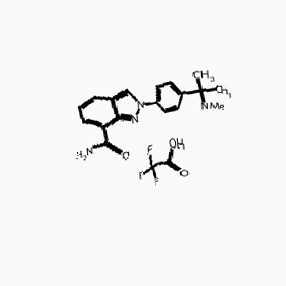 CNC(C)(C)c1ccc(-n2cc3cccc(C(N)=O)c3n2)cc1.O=C(O)C(F)(F)F